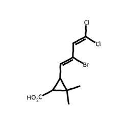 CC1(C)C(C=C(Br)C=C(Cl)Cl)C1C(=O)O